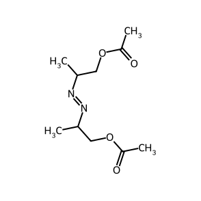 CC(=O)OCC(C)N=NC(C)COC(C)=O